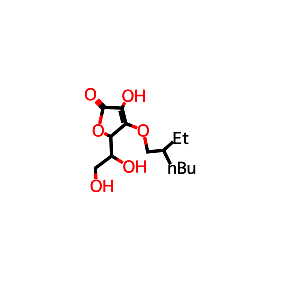 CCCCC(CC)COC1=C(O)C(=O)OC1C(O)CO